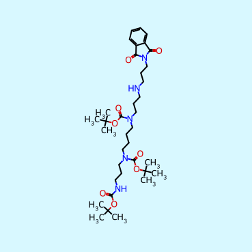 CC(C)(C)OC(=O)NCCCN(CCCCN(CCCNCCCN1C(=O)c2ccccc2C1=O)C(=O)OC(C)(C)C)C(=O)OC(C)(C)C